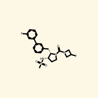 CS(=O)(=O)N[C@H]1CCN(C(=O)N2CC(F)C2)[C@H]1Cc1cccc(-c2cccc(F)c2)c1